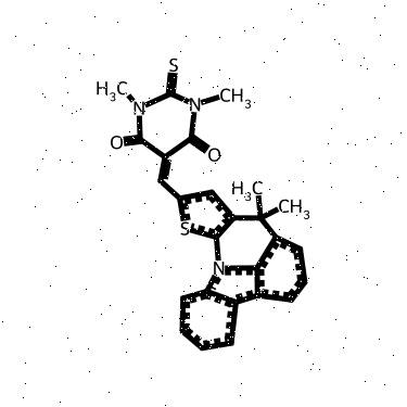 CN1C(=O)C(=Cc2cc3c(s2)-n2c4ccccc4c4cccc(c42)C3(C)C)C(=O)N(C)C1=S